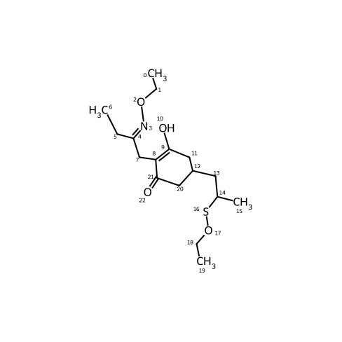 CCON=C(CC)CC1=C(O)CC(CC(C)SOCC)CC1=O